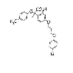 CC(Oc1ccc(C(F)(F)F)cc1)(C(=O)O)c1ccc(OCCCOc2ccc(Cl)cc2)cc1